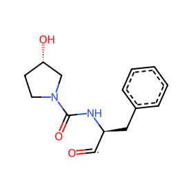 O=[C][C@H](Cc1ccccc1)NC(=O)N1CC[C@H](O)C1